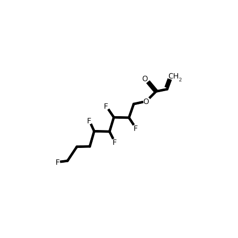 C=CC(=O)OCC(F)C(F)C(F)C(F)CCCF